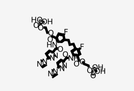 O=C(Nc1cc(CCCc2cc(NC(=O)c3ccc(-n4ccnc4)nn3)c(C(=O)OCCOP(=O)(O)O)cc2F)c(F)cc1C(=O)OCCOP(=O)(O)O)c1ccc(-n2ccnc2)nn1